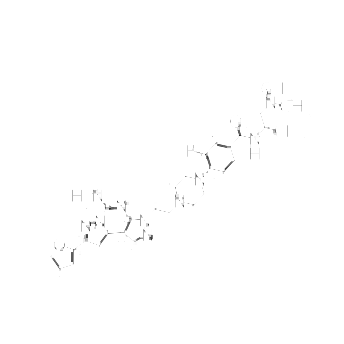 CC(CN(C)C)NC(=O)c1ccc(N2CCN(CCn3ncc4c3nc(N)n3nc(-c5ccco5)cc43)CC2)c(F)c1